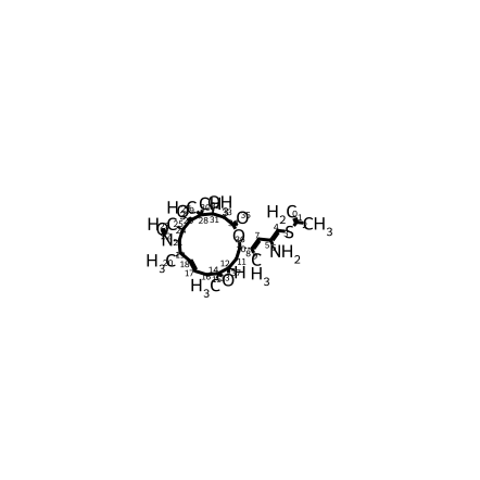 C=C(C)S/C=C(N)/C=C(\C)[C@@H]1C[C@@H]2O[C@]2(C)C/C=C/[C@H](C)[C@H](N=O)[C@@H](C)C(=O)C(C)(C)[C@@H](O)CC(=O)O1